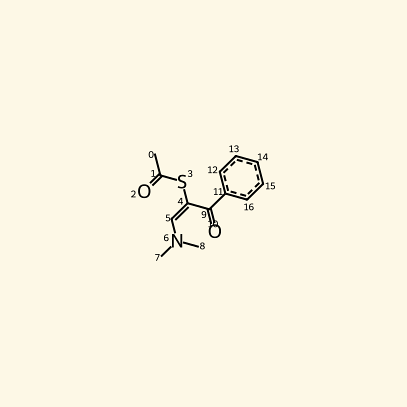 CC(=O)SC(=CN(C)C)C(=O)c1ccccc1